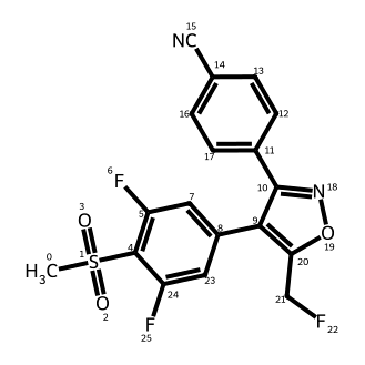 CS(=O)(=O)c1c(F)cc(-c2c(-c3ccc(C#N)cc3)noc2CF)cc1F